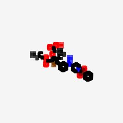 CCOC(=O)c1sc(-c2cccc(NC3CCN(S(=O)(=O)c4ccccc4)CC3)c2)c(C)c1OCC(=O)O